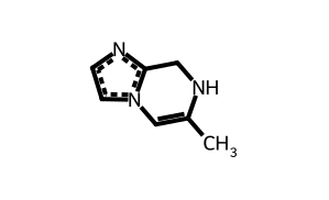 CC1=Cn2ccnc2CN1